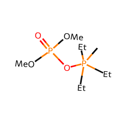 CCP(C)(CC)(CC)OP(=O)(OC)OC